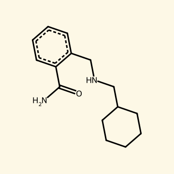 NC(=O)c1ccccc1CNCC1CCCCC1